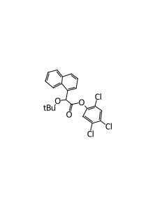 CC(C)(C)OC(C(=O)Oc1cc(Cl)c(Cl)cc1Cl)c1cccc2ccccc12